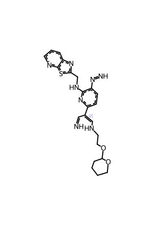 N=C/C(=C\NCCOC1CCCCO1)c1ccc(N=N)c(NCc2nc3cccnc3s2)n1